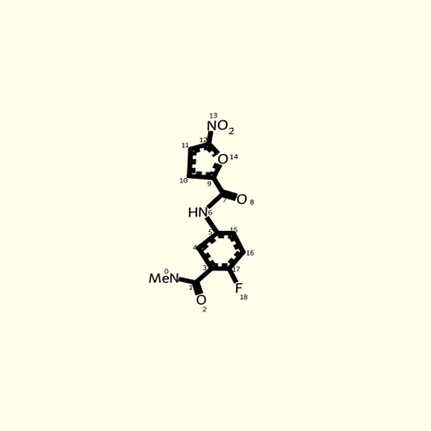 CNC(=O)c1cc(NC(=O)c2ccc([N+](=O)[O-])o2)ccc1F